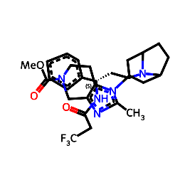 COC(=O)N1CCc2c(nc(C)n2C2CC3CCC(C2)N3CC[C@H](NC(=O)CC(F)(F)F)c2ccccc2)C1